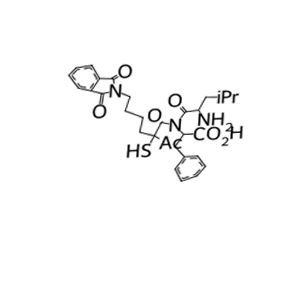 CC(=O)C(S)(CCCCN1C(=O)c2ccccc2C1=O)C(=O)N(C(=O)C(N)CC(C)C)C(Cc1ccccc1)C(=O)O